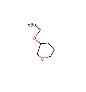 [CH2]CCCCOC1CCCOC1